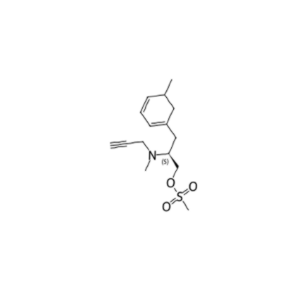 C#CCN(C)[C@H](COS(C)(=O)=O)CC1=CC=CC(C)C1